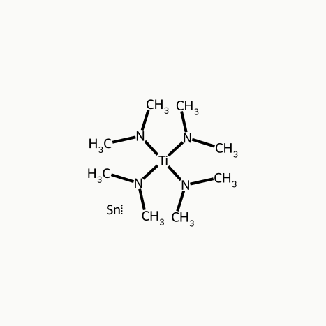 C[N](C)[Ti]([N](C)C)([N](C)C)[N](C)C.[Sn]